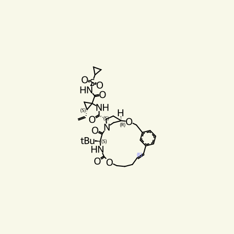 C=C[C@@H]1CC1(NC(=O)[C@@H]1C[C@@H]2CN1C(=O)[C@H](C(C)(C)C)NC(=O)OCCC/C=C/c1cccc(c1)CO2)C(=O)NS(=O)(=O)C1CC1